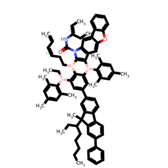 C=C/C=C\CCB1c2c(B(CC)c3c(C)cc(C)cc3C)cc(-c3ccc4c(c3)C(C)(C(CC)CCCCC)c3cc(-c5ccccc5)ccc3-4)cc2B(c2c(C)cc(C)cc2C)c2c1n(C(=O)N/C(=C/C)CC)c1cc3c(cc21)oc1ccccc13